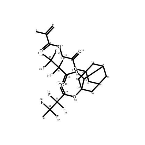 C=C(C)C(=O)OCC(=O)OC12CC3CC(C1)C(OC(=O)C(F)(F)C(C)(F)F)C(OC(=O)C(F)(F)C(C)(F)F)(C3)C2